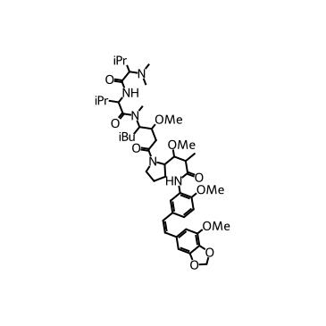 CCC(C)C(C(CC(=O)N1CCCC1C(OC)C(C)C(=O)Nc1cc(/C=C\c2cc(OC)c3c(c2)OCO3)ccc1OC)OC)N(C)C(=O)C(NC(=O)C(C(C)C)N(C)C)C(C)C